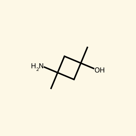 CC1(N)CC(C)(O)C1